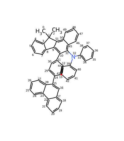 CC1(C)c2ccccc2-c2c(-c3ccc(-c4cc5ccccc5c5ccccc45)cc3)c(N(c3ccccc3)c3ccccc3)c3ccccc3c21